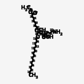 CCCCCCCCCCCCCCCCOC[C@](C)(COP(=O)(O)CCCN)OCCCCCCC(=O)OCC